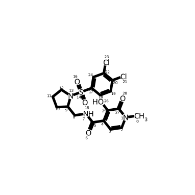 Cn1ccc(C(=O)NCC2CCCN2S(=O)(=O)c2ccc(Cl)c(Cl)c2)c(O)c1=O